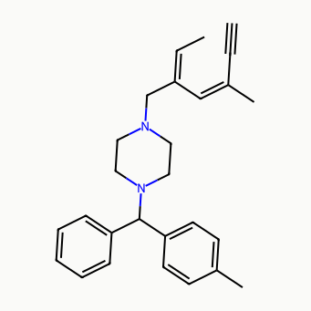 C#C/C(C)=C\C(=C/C)CN1CCN(C(c2ccccc2)c2ccc(C)cc2)CC1